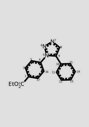 CCOC(=O)c1ccc(-n2nncc2-c2ccccc2)cc1